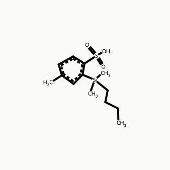 CCCC[Si](C)(C)c1cc(C)ccc1S(=O)(=O)O